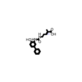 C/C(=C\CCNC(=O)Nc1cc(-c2ccccc2)ccc1O)C(=O)O